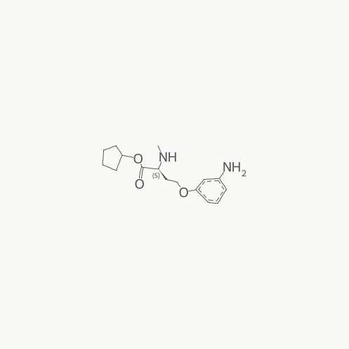 CN[C@@H](CCOc1cccc(N)c1)C(=O)OC1CCCC1